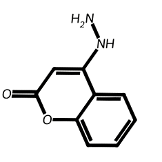 NNc1cc(=O)oc2ccccc12